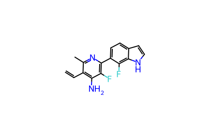 C=Cc1c(C)nc(-c2ccc3cc[nH]c3c2F)c(F)c1N